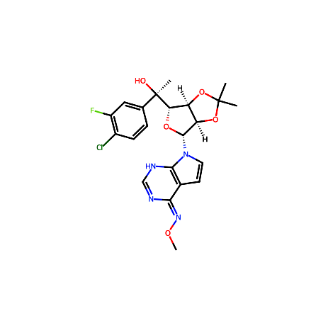 CON=c1nc[nH]c2c1ccn2[C@@H]1O[C@H]([C@](C)(O)c2ccc(Cl)c(F)c2)[C@H]2OC(C)(C)O[C@H]21